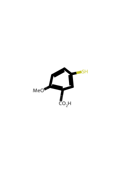 COc1ccc(S)cc1C(=O)O